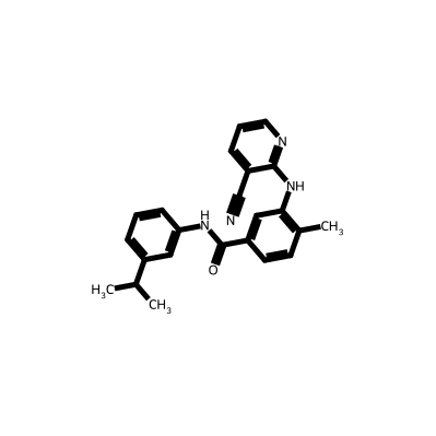 Cc1ccc(C(=O)Nc2cccc(C(C)C)c2)cc1Nc1ncccc1C#N